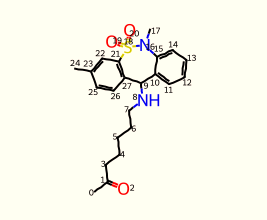 CC(=O)CCCCCNC1c2ccccc2N(C)S(=O)(=O)c2cc(C)ccc21